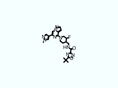 Cn1cc(-c2cn3nccc3c(N3CCC(CNC(=O)c4noc(C(C)(C)C)n4)C(F)C3)n2)cn1